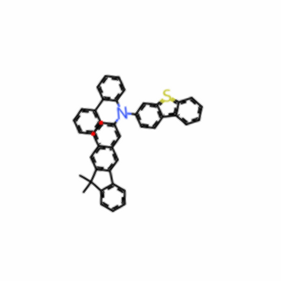 CC1(C)c2ccccc2-c2cc3cc(N(c4ccc5c(c4)sc4ccccc45)c4ccccc4-c4ccccc4)ccc3cc21